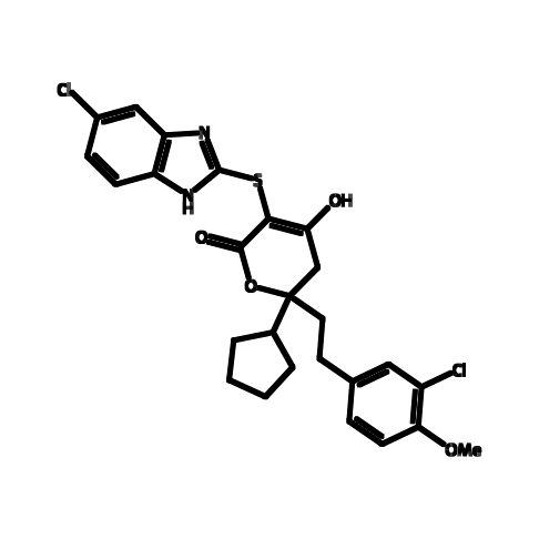 COc1ccc(CCC2(C3CCCC3)CC(O)=C(Sc3nc4cc(Cl)ccc4[nH]3)C(=O)O2)cc1Cl